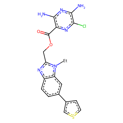 CCn1c(COC(=O)c2nc(Cl)c(N)nc2N)nc2ccc(-c3ccsc3)cc21